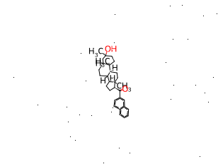 C[C@@]1(O)CC[C@@]2(C)[C@H](CC[C@@H]3[C@@H]2CC[C@]2(C)[C@@H](C(=O)c4ccc5ccccc5c4)CC[C@@H]32)C1